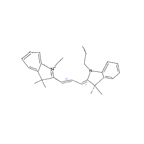 CCCN1/C(=C\C=C\C2=[N+](C)c3ccccc3C2(C)C)C(C)(C)c2ccccc21